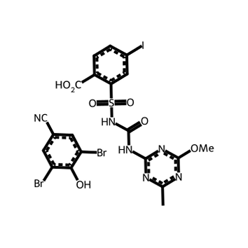 COc1nc(C)nc(NC(=O)NS(=O)(=O)c2cc(I)ccc2C(=O)O)n1.N#Cc1cc(Br)c(O)c(Br)c1